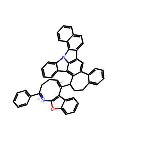 C1=C(/C2CCc3ccccc3-c3cc4c5ccc6ccccc6c5n5c6ccccc6c(c32)c45)c2c(oc3ccccc23)/N=C(/c2ccccc2)CC/1